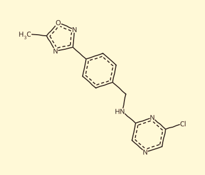 Cc1nc(-c2ccc(CNc3cncc(Cl)n3)cc2)no1